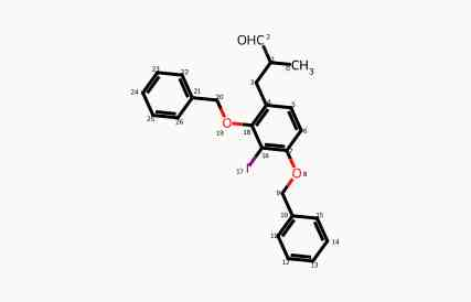 CC(C=O)Cc1ccc(OCc2ccccc2)c(I)c1OCc1ccccc1